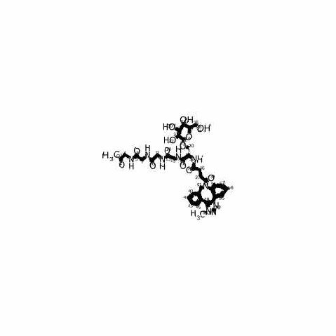 CC(=O)CNC(=O)CNC(=O)CNC(=O)CNC(=O)[C@H](CO[C@@H]1OC(CO)[C@@H](O)C(O)C1O)NC(=O)CCC(=O)N1Cc2ccccc2-c2c(nnn2C)-c2ccccc21